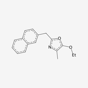 CCOc1oc(Cc2ccc3ccccc3c2)nc1C